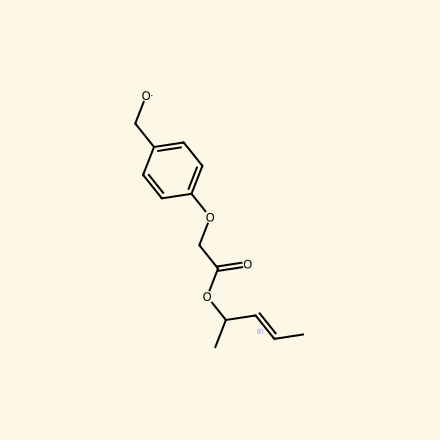 C/C=C/C(C)OC(=O)COc1ccc(C[O])cc1